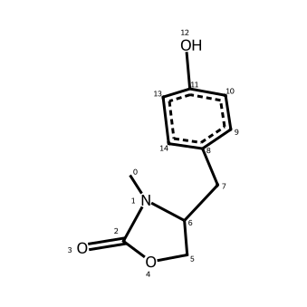 CN1C(=O)OCC1Cc1ccc(O)cc1